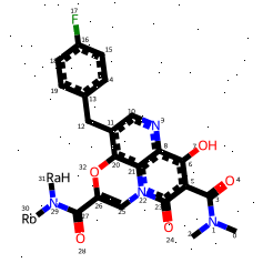 CN(C)C(=O)c1c(O)c2ncc(Cc3ccc(F)cc3)c3c2n(c1=O)C=C(C(=O)[N]([Rb])[RaH])O3